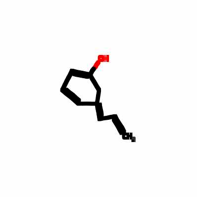 C=C/C=C1/C=CC=C(O)C1